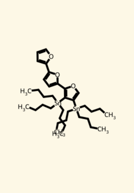 CCC[CH2][Sn]([CH2]CCC)([CH2]CCC)[c]1coc(-c2ccc(-c3ccco3)o2)[c]1[Sn]([CH2]CCC)([CH2]CCC)[CH2]CCC